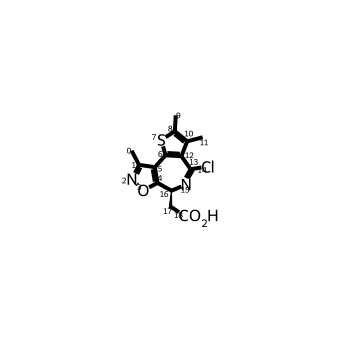 Cc1noc2c1-c1sc(C)c(C)c1C(Cl)=N[C@H]2CC(=O)O